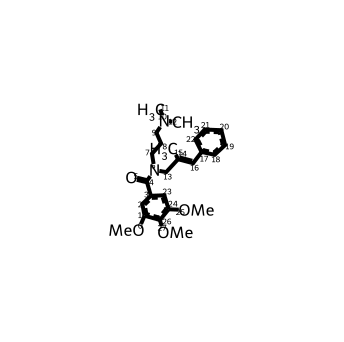 COc1cc(C(=O)N(CCCN(C)C)C/C(C)=C/c2ccccc2)cc(OC)c1OC